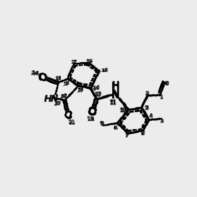 C=CCc1c(C)ccc(C)c1NC(=O)c1cccc2c1C(=O)NC2=O